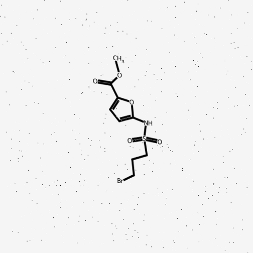 COC(=O)c1ccc(NS(=O)(=O)CCCBr)o1